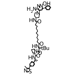 Cc1ncsc1-c1ccc([C@H](C)NC(=O)[C@@H]2CCCN2C(=O)[C@@H](NC(=O)CCCCCCCCCC(=O)NC2CCN(c3cc(-c4ccccc4O)nnc3N)CC2)C(C)(C)C)cc1